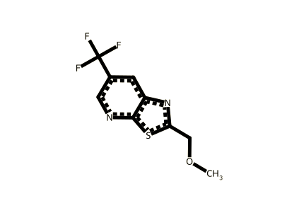 COCc1nc2cc(C(F)(F)F)cnc2s1